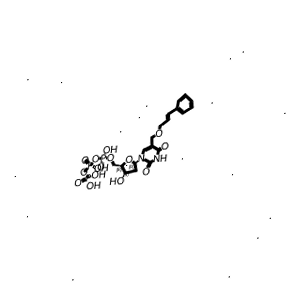 O=c1[nH]c(=O)n([C@H]2C[C@H](O)[C@@H](COP(=O)(O)OP(=O)(O)OP(=O)(O)O)O2)cc1COCC=Cc1ccccc1